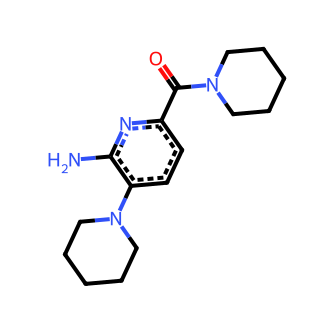 Nc1nc(C(=O)N2CCCCC2)ccc1N1CCCCC1